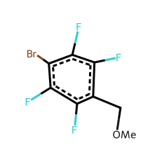 COCc1c(F)c(F)c(Br)c(F)c1F